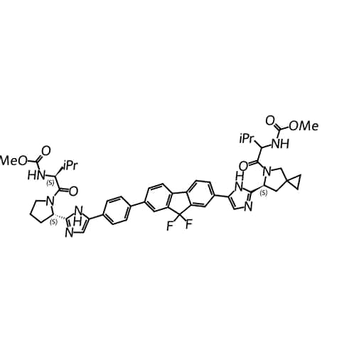 COC(=O)NC(C(=O)N1CC2(CC2)C[C@H]1c1ncc(-c2ccc3c(c2)C(F)(F)c2cc(-c4ccc(-c5cnc([C@@H]6CCCN6C(=O)[C@@H](NC(=O)OC)C(C)C)[nH]5)cc4)ccc2-3)[nH]1)C(C)C